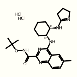 Cc1ccc2nc(C(=O)NOC(C)(C)C)nc(N[C@H]3CCCC[C@H]3NC3=NCCC3)c2c1.Cl.Cl